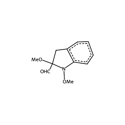 CON1c2ccccc2CC1(C=O)OC